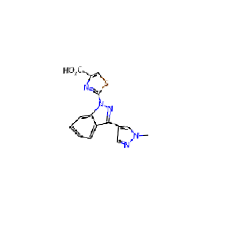 Cn1cc(-c2nn(-c3nc(C(=O)O)cs3)c3ccccc23)cn1